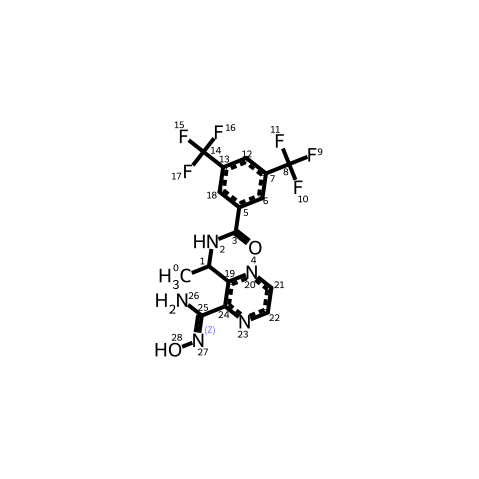 CC(NC(=O)c1cc(C(F)(F)F)cc(C(F)(F)F)c1)c1nccnc1/C(N)=N/O